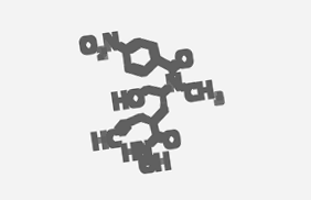 C#CC[C@@H](C[C@@H](CO)N(C)C(=O)c1ccc([N+](=O)[O-])cc1)C(=O)NO